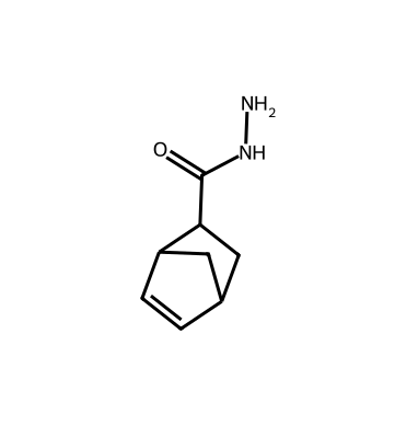 NNC(=O)C1CC2C=CC1C2